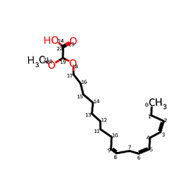 CC/C=C\C/C=C\C/C=C\CCCCCCCCOC(OC)C(=O)O